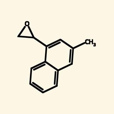 Cc1cc(C2CO2)c2ccccc2c1